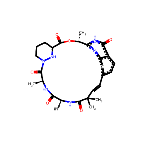 CC(C)[C@@H]1NC(=O)C(C)(C)/C=C/c2ccc3c(=O)[nH]c(nc3c2)[C@@H](C)OC(=O)C2CCCN(N2)C(=O)[C@H](C)NC1=O